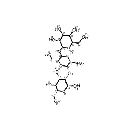 CC(=O)N[C@H]1[C@H](O[C@H]2[C@@H](O)[C@H](O)[C@@H](CO)O[C@@H]2O)O[C@H](CO)[C@@H](O[C@@H]2O[C@H](CO)[C@H](O)[C@H](O)[C@H]2O)[C@@H]1O